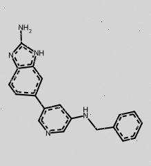 Nc1nc2ccc(-c3cncc(NCc4ccccc4)c3)cc2[nH]1